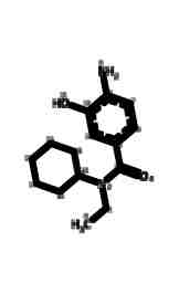 CCN(C(=O)c1ccc(N)c(O)c1)C1CCCCC1